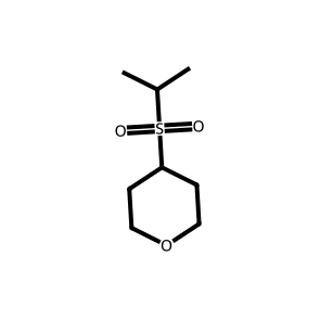 CC(C)S(=O)(=O)C1CCOCC1